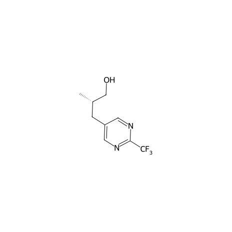 C[C@H](CO)Cc1cnc(C(F)(F)F)nc1